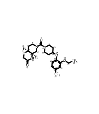 O=C1CO[C@H]2CCN(C(=O)N3CCC(Oc4ccc(C(F)(F)F)cc4OCC(F)(F)F)CC3)C[C@H]2N1